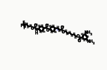 Nc1cc(N)cc(C(=O)OCCCCCCOC(=O)/C=C/c2ccc(OC(=O)c3ccc(NC(=O)OCCCC(F)(F)F)cc3)cc2)c1